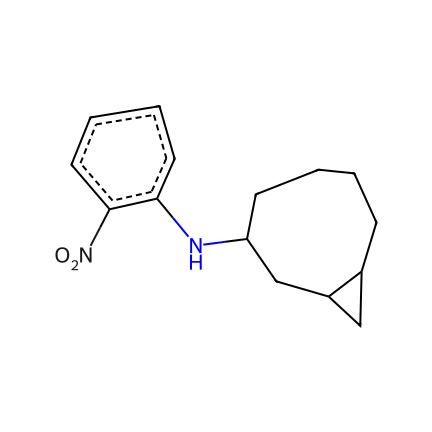 O=[N+]([O-])c1ccccc1NC1CCCCC2CC2C1